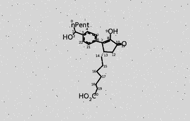 CCCCCC(O)c1ccc(C2=C(O)C(=O)C[C@@H]2CCCCCCC(=O)O)cc1